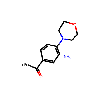 CCCC(=O)c1ccc(N2CCOCC2)cc1.N